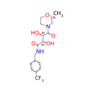 C[C@@H]1CN(C(=O)[C@H](O)[C@@H](O)C(=O)NCc2ccc(C(F)(F)F)cc2)CCO1